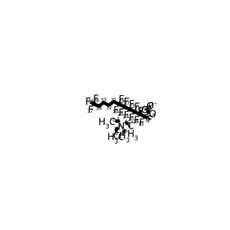 CC[N+](CC)(CC)CC.O=S(=O)([O-])C(F)(F)C(F)(F)C(F)(F)C(F)(F)C(F)(F)C(F)(F)CCCCC(F)(F)F